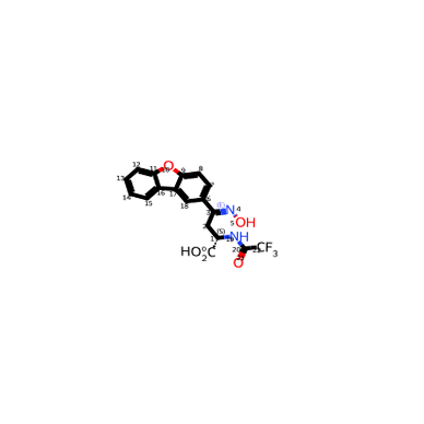 O=C(O)[C@H](C/C(=N\O)c1ccc2oc3ccccc3c2c1)NC(=O)C(F)(F)F